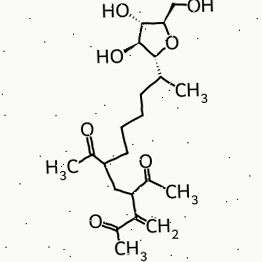 C=C(C(C)=O)C(CC(CCCCC(C)[C@H]1O[C@H](CO)[C@@H](O)[C@@H]1O)C(C)=O)C(C)=O